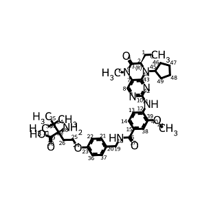 CC[C@@H]1C(=O)N(C)c2cnc(Nc3ccc(C(=O)NCc4ccc(OCC[C@](N)(C(=O)O)C(C)(C)C)cc4)cc3OC)nc2N1C1CCCC1